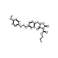 CCCOC(=O)N1C(=O)SC(Cc2ccc(OCCc3ccc(CC)cn3)cc2)C1=O